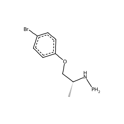 C[C@H](COc1ccc(Br)cc1)NP